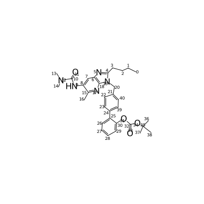 CCCCc1nc2cc(NC(=O)N(C)C)c(C)nc2n1Cc1ccc(-c2ccccc2OC(=O)OC(C)(C)C)cc1